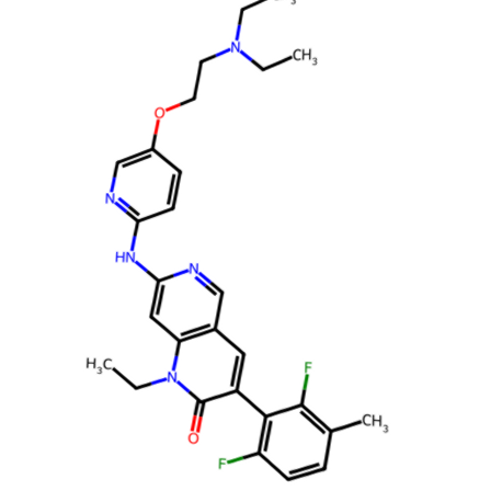 CCN(CC)CCOc1ccc(Nc2cc3c(cn2)cc(-c2c(F)ccc(C)c2F)c(=O)n3CC)nc1